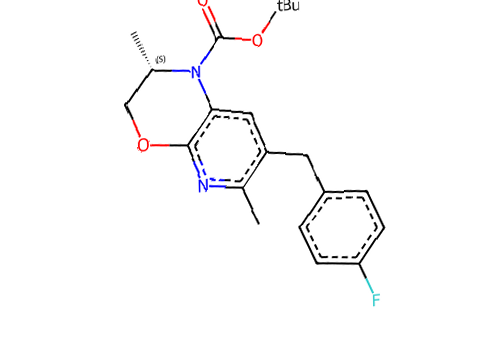 Cc1nc2c(cc1Cc1ccc(F)cc1)N(C(=O)OC(C)(C)C)[C@@H](C)CO2